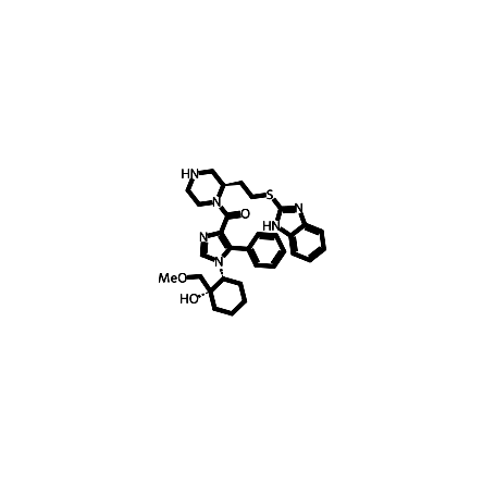 COC[C@]1(O)CCCC[C@H]1n1cnc(C(=O)N2CCNC[C@H]2CCSc2nc3ccccc3[nH]2)c1-c1ccccc1